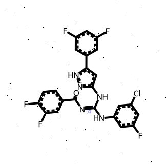 O=C(/N=C(/Nc1cc(F)cc(Cl)c1)Nc1cc(-c2cc(F)cc(F)c2)[nH]n1)c1ccc(F)c(F)c1